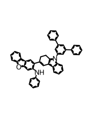 C1=C(c2cc3c(cc2Nc2ccccc2)oc2ccccc23)CCc2c1c1ccccc1n2-c1cc(-c2ccccc2)cc(-c2ccccc2)c1